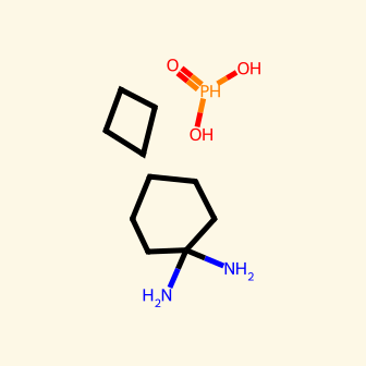 C1CCC1.NC1(N)CCCCC1.O=[PH](O)O